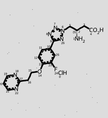 Cl.N[C@@H](CC(=O)O)Cn1nnc(-c2ccc(OCCc3ncccn3)c(F)c2)n1